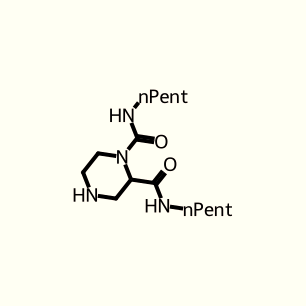 CCCCCNC(=O)C1CNCCN1C(=O)NCCCCC